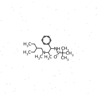 CCC(CC)CN(C)C(C)C(N[S+]([O-])C(C)(C)C)c1ccccc1